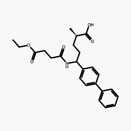 CCOC(=O)CCC(=O)NC(CC[C@@H](C)C(=O)O)c1ccc(-c2ccccc2)cc1